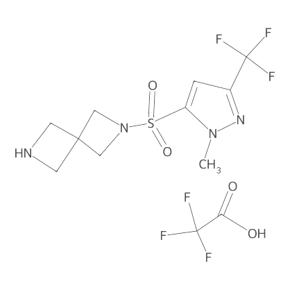 Cn1nc(C(F)(F)F)cc1S(=O)(=O)N1CC2(CNC2)C1.O=C(O)C(F)(F)F